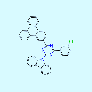 Clc1cccc(-c2nc(-c3ccc4c5ccccc5c5ccccc5c4c3)nc(-n3c4ccccc4c4ccccc43)n2)c1